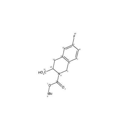 CC(C)(C)OC(=O)N1Cc2ccc(F)cc2CC1C(=O)O